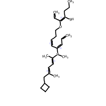 C=C/C=C(\C=C/CCO/C(C=C)=C(\S)CCC)N(C)/C(C)=C/C=C(\C)CC1CCC1